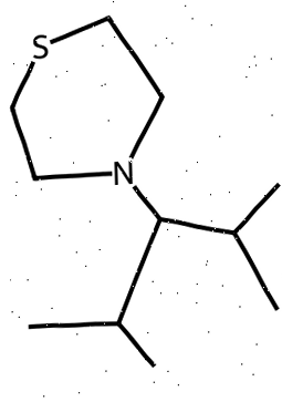 CC(C)C(C(C)C)N1CCSCC1